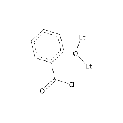 CCOCC.O=C(Cl)c1ccccc1